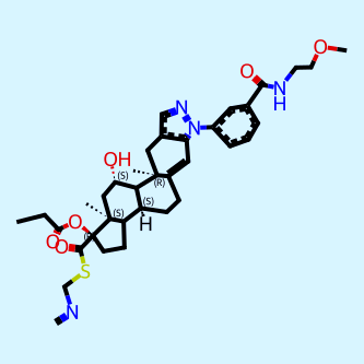 C=NCSC(=O)[C@@]1(OC(=O)CC)CCC2[C@@H]3CCC4=Cc5c(cnn5-c5cccc(C(=O)NCCOC)c5)C[C@]4(C)C3[C@@H](O)C[C@@]21C